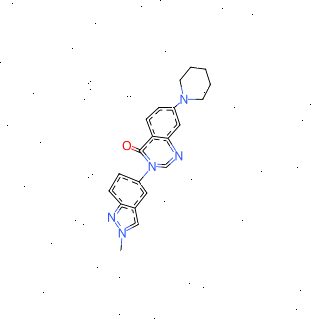 Cn1cc2cc(-n3cnc4cc(N5CCCCC5)ccc4c3=O)ccc2n1